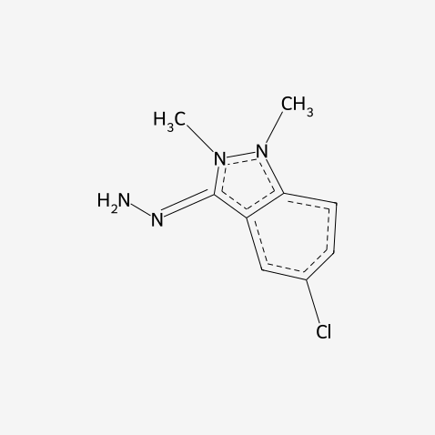 Cn1c(=NN)c2cc(Cl)ccc2n1C